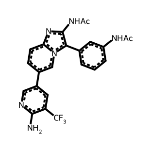 CC(=O)Nc1cccc(-c2c(NC(C)=O)nc3ccc(-c4cnc(N)c(C(F)(F)F)c4)cn23)c1